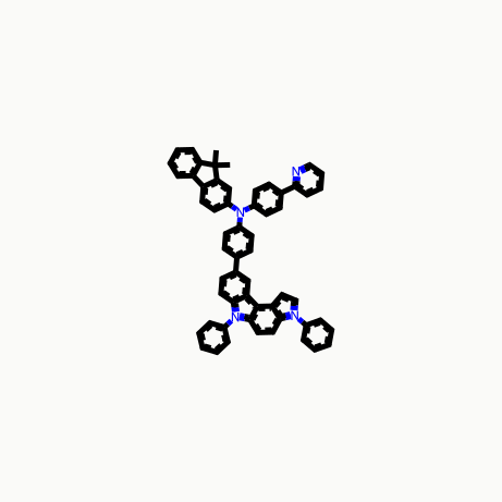 CC1(C)c2ccccc2-c2ccc(N(c3ccc(-c4ccc5c(c4)c4c6ccn(-c7ccccc7)c6ccc4n5-c4ccccc4)cc3)c3ccc(-c4ccccn4)cc3)cc21